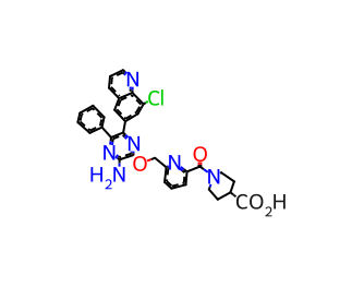 Nc1nc(-c2ccccc2)c(-c2cc(Cl)c3ncccc3c2)nc1OCc1cccc(C(=O)N2CCC(C(=O)O)CC2)n1